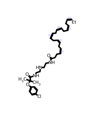 CC/C=C\C/C=C\C/C=C\C/C=C\C/C=C\C/C=C\CCC(=O)NCCNCCNC(=O)C(C)(C)Oc1ccc(Cl)cc1